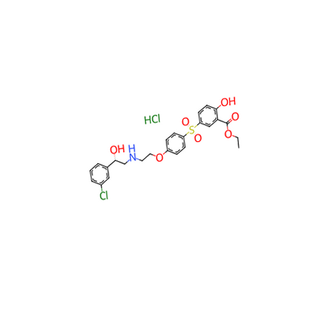 CCOC(=O)c1cc(S(=O)(=O)c2ccc(OCCNC[C@@H](O)c3cccc(Cl)c3)cc2)ccc1O.Cl